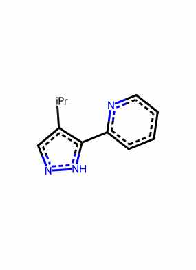 CC(C)c1cn[nH]c1-c1ccccn1